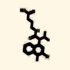 Cc1c(Br)cc(C(C(=O)NCCCC(=O)O)C(C)C)c2ccccc12